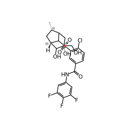 C[C@H]1C[C@H]2C(O)[C@](O)(CO)CC1C2S(=O)(=O)c1cc(C(=O)Nc2cc(F)c(F)c(F)c2)ccc1Cl